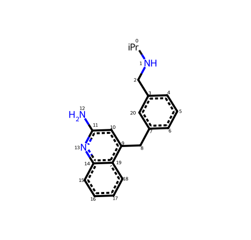 CC(C)NCc1cccc(Cc2cc(N)nc3ccccc23)c1